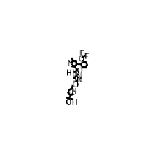 Cc1cc(-c2ccccc2OC(F)F)c(C(=O)Nc2nnc(OCc3ccc(C(C)(C)O)cn3)s2)cn1